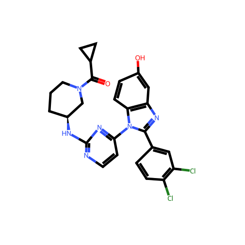 O=C(C1CC1)N1CCC[C@H](Nc2nccc(-n3c(-c4ccc(Cl)c(Cl)c4)nc4cc(O)ccc43)n2)C1